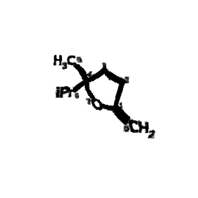 C=C1CCC(C)(C(C)C)O1